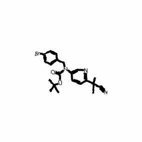 CC(C)(C)OC(=O)N(Cc1ccc(Br)cc1)c1ccc(C(C)(C)C#N)nc1